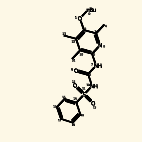 CCCCOc1c(C)nc(NC(=O)NS(=O)(=O)c2ccccc2)c(C)c1C